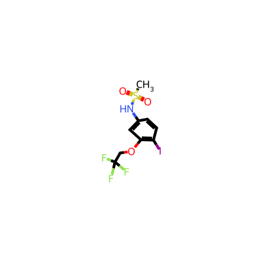 CS(=O)(=O)Nc1ccc(I)c(OCC(F)(F)F)c1